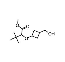 COC(=O)C(OC1CC(CO)C1)C(C)(C)C